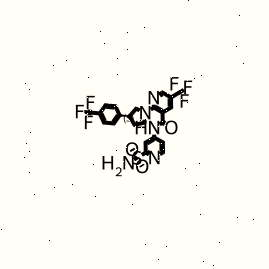 NS(=O)(=O)c1cc(NC(=O)c2cc(C(F)(F)F)cnc2N2CC[C@@H](c3ccc(C(F)(F)F)cc3)C2)ccn1